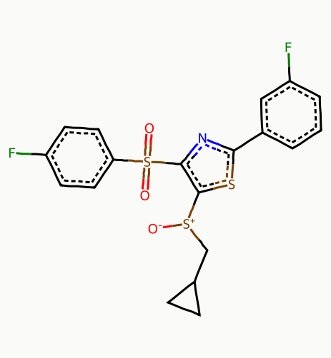 O=S(=O)(c1ccc(F)cc1)c1nc(-c2cccc(F)c2)sc1[S+]([O-])CC1CC1